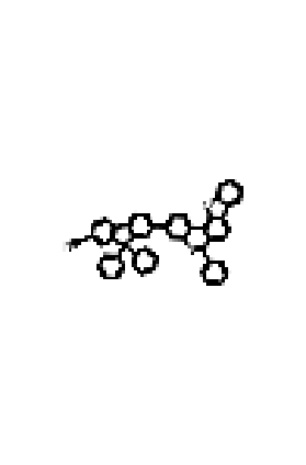 N#Cc1ccc2c(c1)C(c1ccccc1)(c1ccccc1)c1cc(-c3ccc4c(c3)nc(-c3ccccc3)c3ccc5c6ccccc6oc5c34)ccc1-2